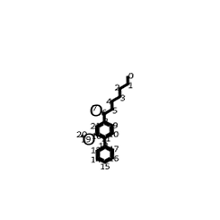 CCCCCCC(=O)c1ccc(-c2ccccc2)c(OC)c1